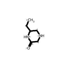 CCC1CNCC(=O)N1